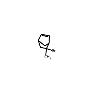 CC1(Br)CC2C=CC1C2